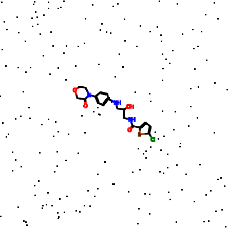 O=C(NCC(O)CNc1ccc(N2CCOCC2=O)cc1)c1ccc(Cl)s1